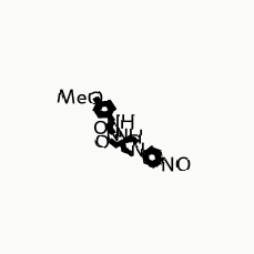 COc1ccc(NC(=O)N2NC3(CCN(c4ccc(N=O)cc4)CC3)CC2=O)cc1